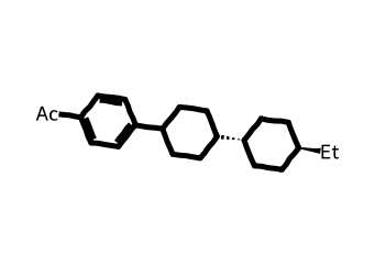 CC[C@H]1CC[C@H](C2CCC(c3ccc(C(C)=O)cc3)CC2)CC1